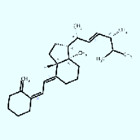 C=C1CCCC/C1=C/C=C1\CCC[C@]2(C)[C@@H]([C@H](C)/C=C/[C@H](C)C(C)C)CC[C@@H]12